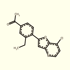 CCc1cc(C(C)=O)ccc1-c1cc2nccc(Cl)c2o1